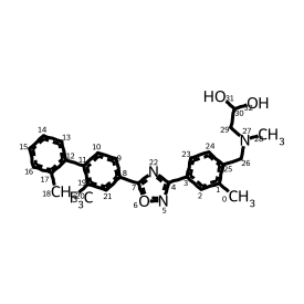 Cc1cc(-c2noc(-c3ccc(-c4ccccc4C)c(C(F)(F)F)c3)n2)ccc1CN(C)CC(O)O